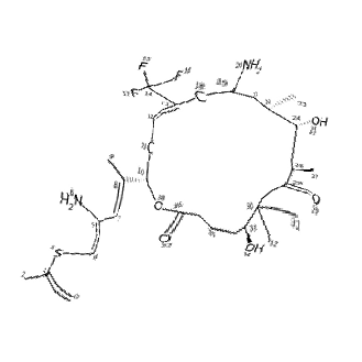 C=C(C)S/C=C(N)/C=C(\C)[C@@H]1C/C=C(/C(F)(F)F)CC(N)C[C@H](C)[C@H](O)[C@@H](C)C(=O)C(C)(C)[C@@H](O)CC(=O)O1